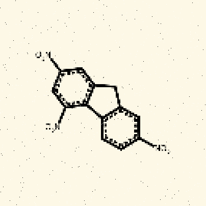 O=[N+]([O-])c1ccc2c(c1)Cc1cc([N+](=O)[O-])cc([N+](=O)[O-])c1-2